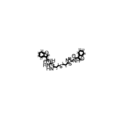 N=C(CCSCCc1nnc(NC(=O)c2coc3ccccc23)s1)SC(=N)NC(=O)c1coc2ccccc12